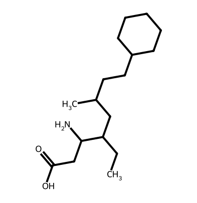 CCC(CC(C)CCC1CCCCC1)C(N)CC(=O)O